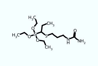 CCO[Si](OCC)(OCC)C(CC)SCCCNC(N)=O